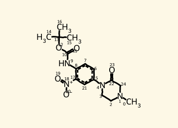 CN1CCN(c2ccc(NC(=O)OC(C)(C)C)c([N+](=O)[O-])c2)C(=O)C1